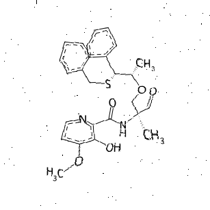 COc1ccnc(C(=O)N[C@](C)(C=O)CO[C@@H](C)[C@H](SCc2ccccc2)c2ccccc2)c1O